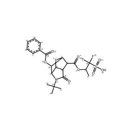 CC(OC(=O)C1C2SC3C1C(=O)N(C(C)(C)C)C3C2OC(=O)c1ccccc1)C(F)(F)S(=O)(=O)O